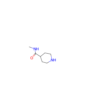 CNC(=O)C1CCNCC1